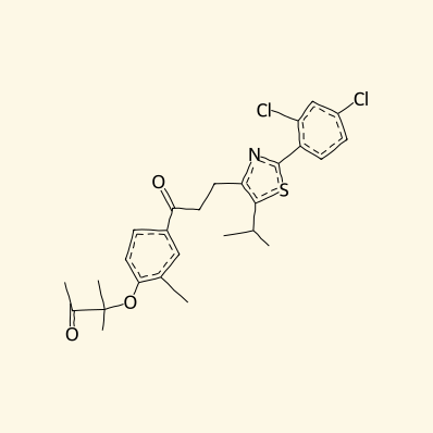 CC(=O)C(C)(C)Oc1ccc(C(=O)CCc2nc(-c3ccc(Cl)cc3Cl)sc2C(C)C)cc1C